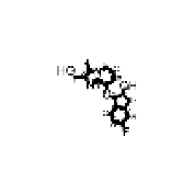 Cc1c(CO)nc2c(OC3c4ccc(F)cc4CC3O)cccn12